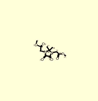 COC(=O)CN1C(=O)C(=O)N(CC(=O)OC)C1(C)C